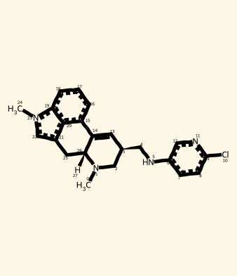 CN1C[C@H](CNc2ccc(Cl)nc2)C=C2c3cccc4c3c(cn4C)C[C@H]21